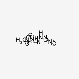 CN(C)C(=O)C1Cc2cnc(Nc3ccc(N4CCOCC4)cn3)nc2N1C1CCCC1